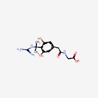 CC(C)(NC(=N)N)c1c(O)cc(CC(=O)NCC(=O)O)cc1O